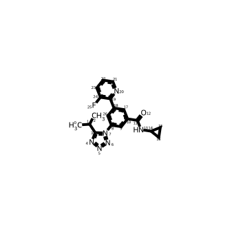 CC(C)c1nnnn1-c1cc(C(=O)NC2CC2)cc(-c2ncccc2F)c1